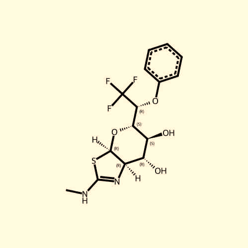 CNC1=N[C@@H]2[C@@H](O)[C@H](O)[C@@H]([C@@H](Oc3ccccc3)C(F)(F)F)O[C@@H]2S1